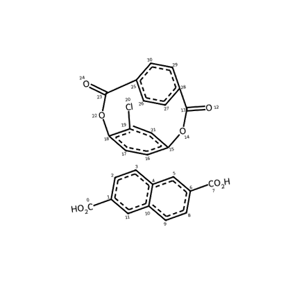 O=C(O)c1ccc2cc(C(=O)O)ccc2c1.O=C1Oc2ccc(c(Cl)c2)OC(=O)c2ccc1cc2